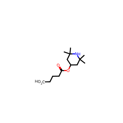 CC1(C)CC(OC(=O)CCCC(=O)O)CC(C)(C)N1